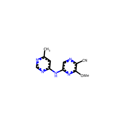 COc1nc(Nc2cc(C)ncn2)cnc1C#N